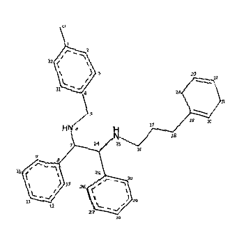 Cc1ccc(CNC(c2ccccc2)C(NCCCC2=CCC=CC2)c2ccccc2)cc1